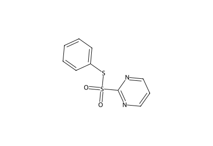 O=S(=O)(Sc1ccccc1)c1ncccn1